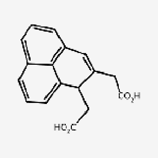 O=C(O)CC1=Cc2cccc3cccc(c23)C1CC(=O)O